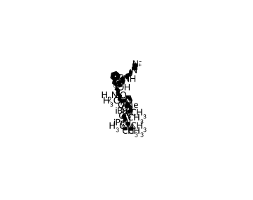 CC[C@H](C)[C@@H]([C@H](C)CC(=O)N1CCC[C@H]1[C@H](OC)[C@@H](C)C(=O)C(N)CC[C@@H](Cc1ccccc1)P(=O)(O)CC(=O)NCCCN=[N+]=[N-])N(C)C(=O)[C@@H](N=C(N(C)C)N(C)C)C(C)C